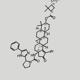 CC(C)C1=C2[C@H]3CC[C@@H]4[C@@]5(C)CC[C@H](OC(=O)[C@H]6C[C@@H](C(=O)O)C6(C)C)C(C)(C)[C@@H]5CC[C@@]4(C)[C@]3(C)CC[C@@]2(NC(=O)N2CCCC2c2ncc(-c3ccccc3)[nH]2)CC1=O